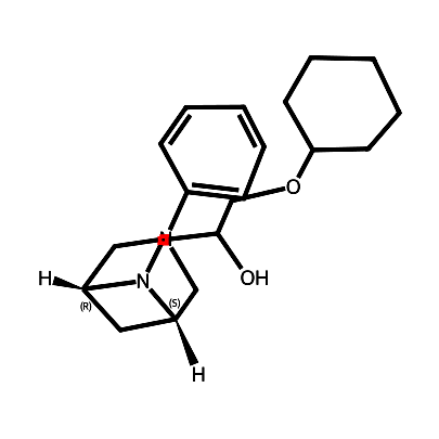 OC(COC1CCCCC1)CN1[C@@H]2C[C@H]1CN(c1ccccc1)C2